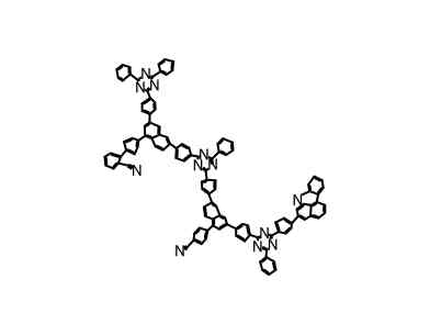 N#Cc1ccc(-c2cc(-c3ccc(-c4nc(-c5ccccc5)nc(-c5ccc(-c6ccc7c(-c8ccccc8C#N)cccc7c6)cc5)n4)cc3)cc3cc(-c4ccc(-c5nc(-c6ccccc6)nc(-c6ccc(-c7ccc8c(-c9ccc(-c%10ccccc%10C#N)cc9)cc(-c9ccc(-c%10nc(-c%11ccccc%11)nc(-c%11ccccc%11)n%10)cc9)cc8c7)cc6)n5)cc4)ccc23)cc1